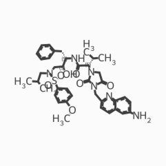 COc1ccc(S(=O)(=O)N(CC(C)C)C[C@H](O)[C@H](Cc2ccccc2)NC(=O)[C@H](C(C)C)N2CC(=O)N(Cc3ccc4cc(N)ccc4n3)C2=O)cc1